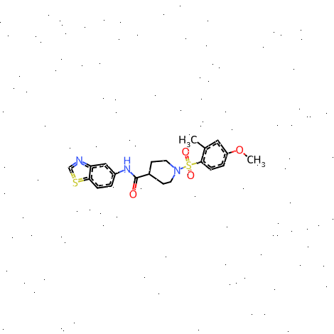 COc1ccc(S(=O)(=O)N2CCC(C(=O)Nc3ccc4scnc4c3)CC2)c(C)c1